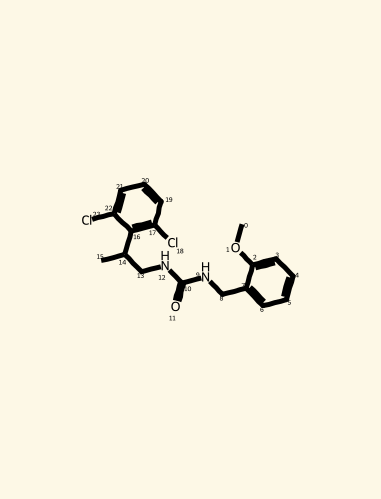 COc1ccccc1CNC(=O)NCC(C)c1c(Cl)cccc1Cl